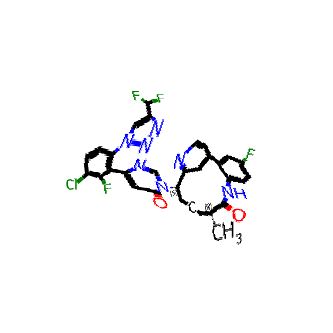 C[C@@H]1CCC[C@H](n2cnc(-c3c(-n4cc(C(F)F)nn4)ccc(Cl)c3F)cc2=O)c2cc(ccn2)-c2cc(F)ccc2NC1=O